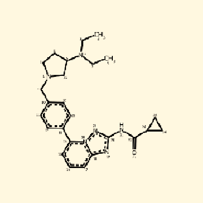 CCN(CC)C1CCN(Cc2ccc(-c3cccc4nc(NC(=O)C5CC5)nn34)cc2)C1